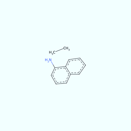 CC.Nc1cccc2ccccc12